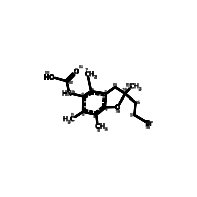 Cc1c(C)c2c(c(C)c1NC(=O)O)CC(C)(CCBr)O2